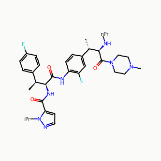 CCCN[C@@H](C(=O)N1CCN(C)CC1)[C@@H](C)c1ccc(NC(=O)[C@@H](NC(=O)c2ccnn2C(C)C)[C@@H](C)c2ccc(F)cc2)c(F)c1